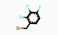 Fc1ccc(CBr)c(F)c1F